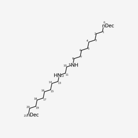 CCCCCCCCCCCCCCCCCCNCCNCCCCCCCCCCCCCCCCCC